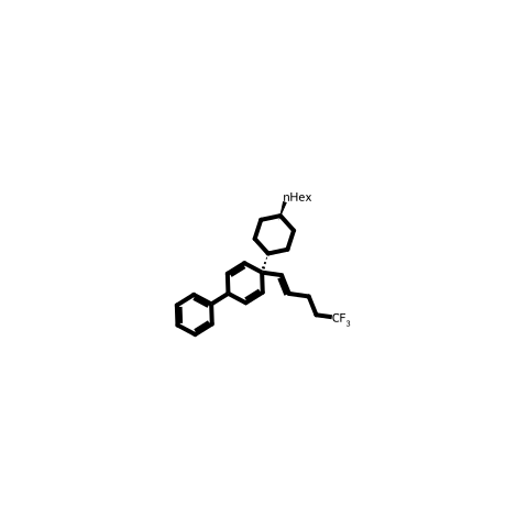 CCCCCC[C@H]1CC[C@H](C2(/C=C/CCC(F)(F)F)C=CC(c3ccccc3)C=C2)CC1